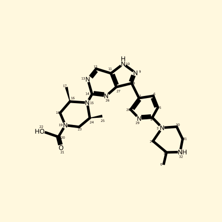 CC1CN(c2ccc(-c3n[nH]c4cnc(N5[C@H](C)CN(C(=O)O)C[C@@H]5C)nc34)cn2)CCN1